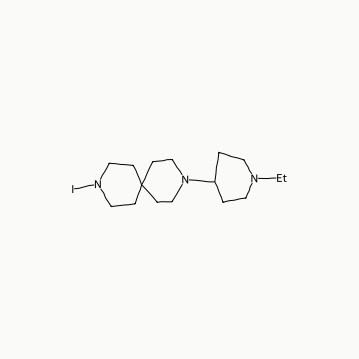 CCN1CCC(N2CCC3(CCN(I)CC3)CC2)CC1